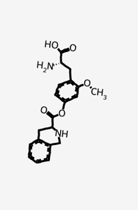 COc1cc(OC(=O)C2Cc3ccccc3CN2)ccc1C[C@H](N)C(=O)O